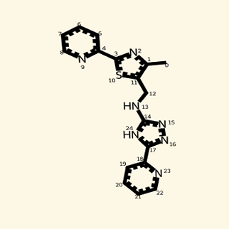 Cc1nc(-c2ccccn2)sc1CNc1nnc(-c2ccccn2)[nH]1